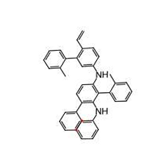 C=Cc1ccc(Nc2ccc(-c3ccccc3)c(Nc3ccccc3)c2-c2ccccc2C)cc1-c1ccccc1C